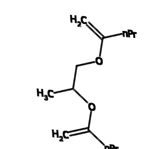 C=C(CCC)OCC(C)OC(=C)CCC